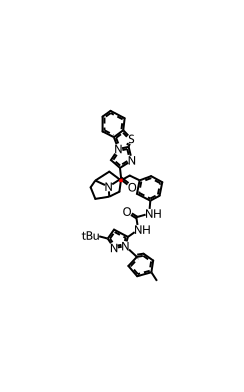 Cc1ccc(-n2nc(C(C)(C)C)cc2NC(=O)Nc2cccc(CC3CC4CCC(C3)N4C(=O)c3cn4c(n3)sc3ccccc34)c2)cc1